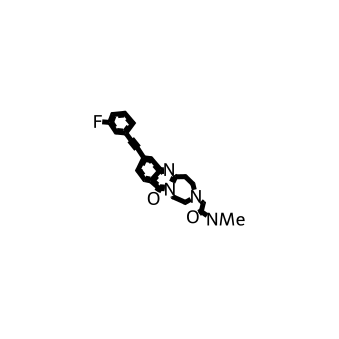 CNC(=O)CN1CCc2nc3cc(C#Cc4cccc(F)c4)ccc3c(=O)n2CC1